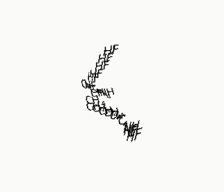 C.C.C.C.C.C.F.F.F.F.F.F.F.F.N=C=O.N=C=O